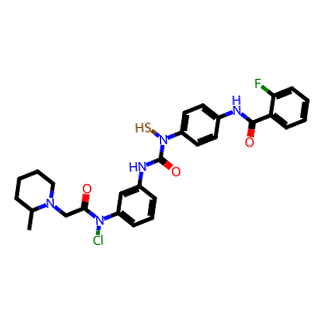 CC1CCCCN1CC(=O)N(Cl)c1cccc(NC(=O)N(S)c2ccc(NC(=O)c3ccccc3F)cc2)c1